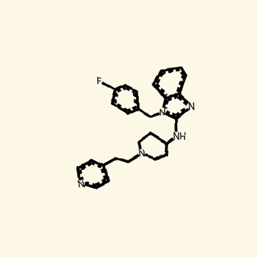 Fc1ccc(Cn2c(NC3CCN(CCc4ccncc4)CC3)nc3ccccc32)cc1